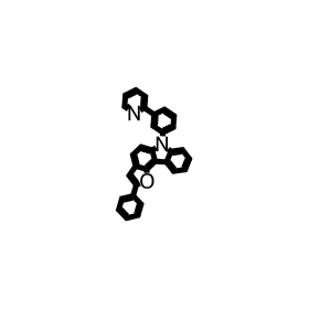 c1ccc(-c2cc3ccc4c(c5ccccc5n4-c4cccc(-c5ccccn5)c4)c3o2)cc1